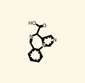 O=C(O)C1N=Cc2ccccc2-n2cncc21